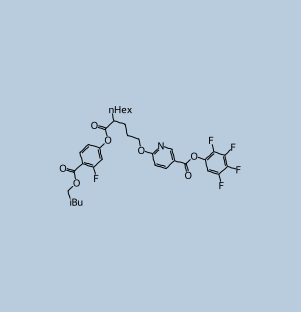 CCCCCCC(CCCOc1ccc(C(=O)Oc2cc(F)c(F)c(F)c2F)cn1)C(=O)Oc1ccc(C(=O)OCC(C)CC)c(F)c1